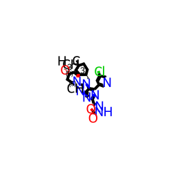 CO[C@@H]1CCN(c2nc3nc(-c4n[nH]c(=O)o4)nc(-c4cncc(Cl)c4)c3n2C[C@H]2CC[C@H](C)CC2)[C@@H](C)C1